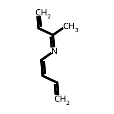 C=C/C=C\N=C(\C)C=C